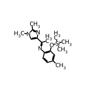 CC(=Nc1ccc(C)cc1O[Si](C)(C)C)c1cn(C)c(C)n1